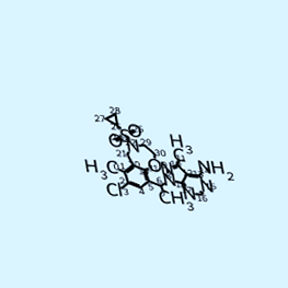 Cc1c(Cl)cc(C(C)n2nc(C)c3c(N)ncnc32)c2c1CN(S(=O)(=O)C1CC1)CCO2